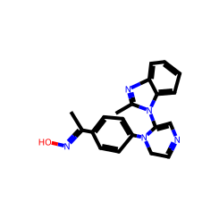 CC(=NO)c1ccc(N2CC=NC=C2n2c(C)nc3ccccc32)cc1